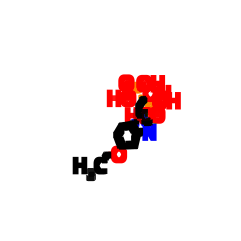 CCOc1ccc2c(c1)ncn2CC(O)(P(=O)(O)O)P(=O)(O)O